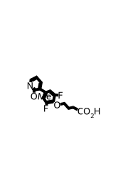 COc1ncccc1-c1cc(F)c(OCCCC(=O)O)c(F)c1